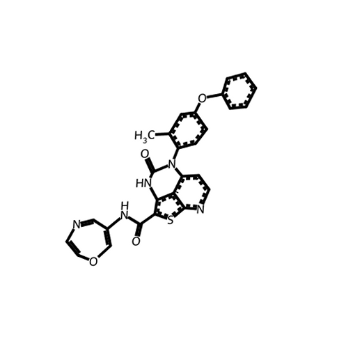 Cc1cc(Oc2ccccc2)ccc1N1C(=O)Nc2c(C(=O)NC3=COC=CN=C3)sc3nccc1c23